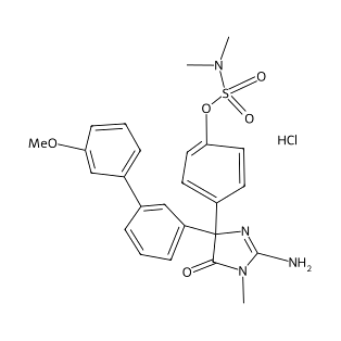 COc1cccc(-c2cccc(C3(c4ccc(OS(=O)(=O)N(C)C)cc4)N=C(N)N(C)C3=O)c2)c1.Cl